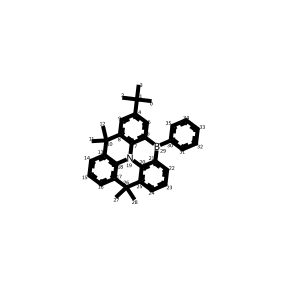 CC(C)(C)c1cc2c3c(c1)C(C)(C)c1cccc4c1N3c1c(cccc1C4(C)C)B2c1ccccc1